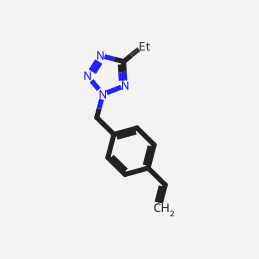 C=Cc1ccc(Cn2nnc(CC)n2)cc1